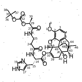 COc1ccc2c3c1O[C@H]1C(OC(=O)[C@H](Cc4c[nH]cn4)NC(=O)CCNC(=O)[C@H](C)OC(=O)OC(C)(C)C)=CC[C@@]4(O)[C@@H](C2)N(C)CC[C@]314